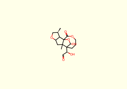 C[C@@H]1COC2CC3(C)C4(OC(O)C3([C@@H](O)C=O)CCCOC4=O)C21